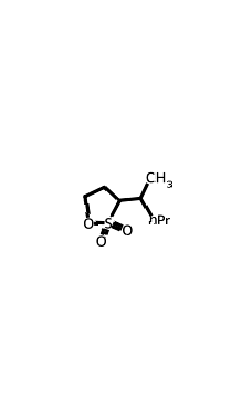 CCCC(C)C1CCOS1(=O)=O